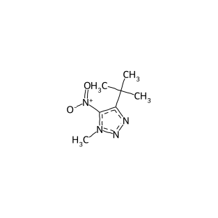 Cn1nnc(C(C)(C)C)c1[N+](=O)[O-]